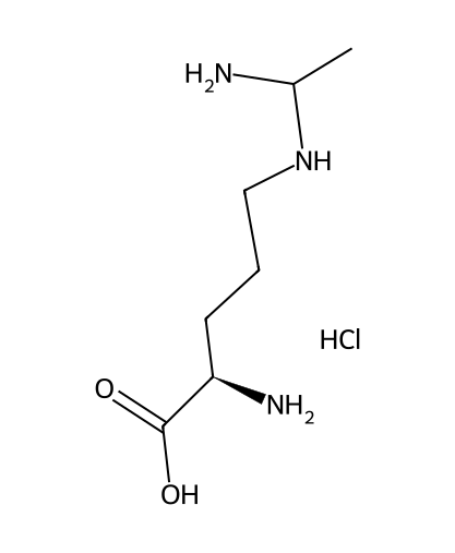 CC(N)NCCC[C@@H](N)C(=O)O.Cl